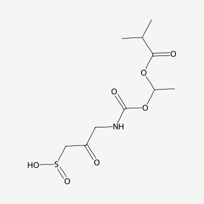 CC(OC(=O)NCC(=O)CS(=O)O)OC(=O)C(C)C